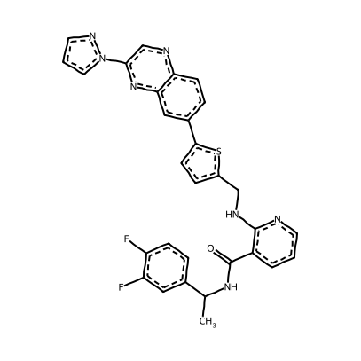 CC(NC(=O)c1cccnc1NCc1ccc(-c2ccc3ncc(-n4cccn4)nc3c2)s1)c1ccc(F)c(F)c1